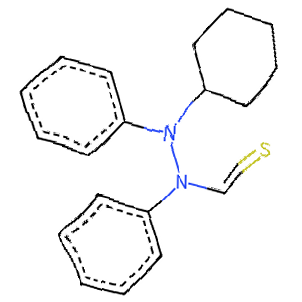 S=CN(c1ccccc1)N(c1ccccc1)C1CCCCC1